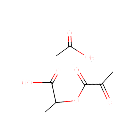 CC(=O)C(=O)OC(C)C(=O)O.CC(=O)O